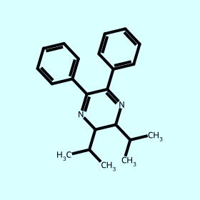 CC(C)C1N=C(c2ccccc2)C(c2ccccc2)=NC1C(C)C